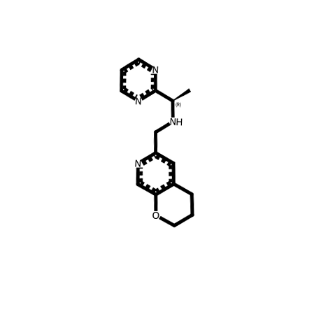 C[C@@H](NCc1cc2c(cn1)OCCC2)c1ncccn1